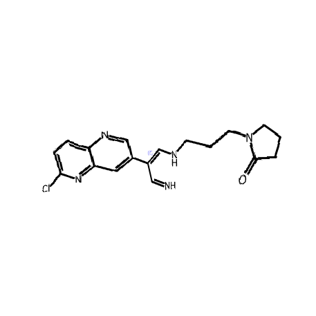 N=C/C(=C\NCCCN1CCCC1=O)c1cnc2ccc(Cl)nc2c1